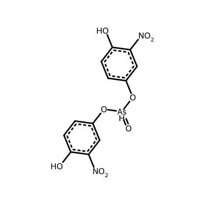 O=[N+]([O-])c1cc(O[AsH](=O)Oc2ccc(O)c([N+](=O)[O-])c2)ccc1O